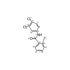 O=C(Nc1ccc(Cl)c(Cl)c1)c1ccccc1I